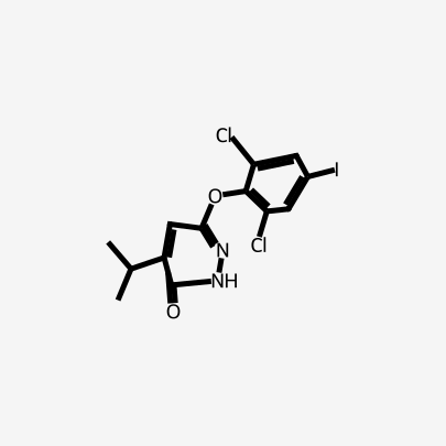 CC(C)c1cc(Oc2c(Cl)cc(I)cc2Cl)n[nH]c1=O